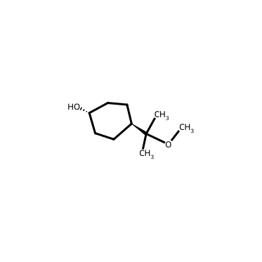 COC(C)(C)[C@H]1CC[C@H](O)CC1